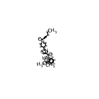 CCCC#CC(=O)N1CCC(c2nc(C(=O)Nc3ccccc3C(C)(C)C)cs2)CC1